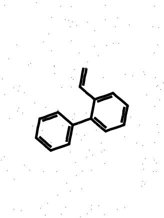 [CH]=Cc1ccccc1-c1[c]cccc1